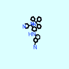 N#Cc1ccc2c(c1)CCC[C@H]2Nc1ccc2c(c1)c(-c1ccncc1)nn2C(c1ccccc1)(c1ccccc1)c1ccccc1